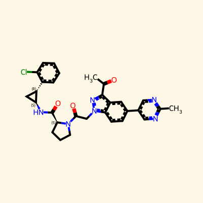 CC(=O)c1nn(CC(=O)N2CCC[C@H]2C(=O)N[C@H]2C[C@@H]2c2ccccc2Cl)c2ccc(-c3cnc(C)nc3)cc12